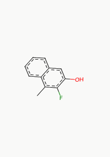 Cc1c(F)c(O)cc2ccccc12